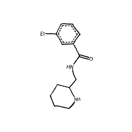 CCc1cccc(C(=O)NCC2CCCCN2)c1